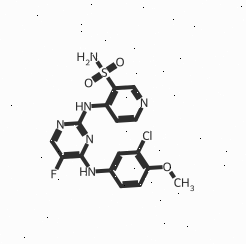 COc1ccc(Nc2nc(Nc3ccncc3S(N)(=O)=O)ncc2F)cc1Cl